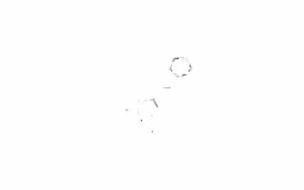 CCCC(F)(F)[C@@H](CO)NC(=O)OCc1ccccc1